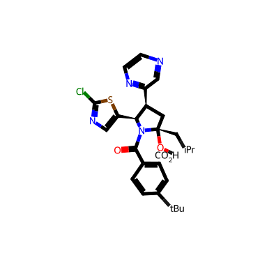 CC(C)C[C@]1(OC(=O)O)C[C@H](c2cnccn2)[C@H](c2cnc(Cl)s2)N1C(=O)c1ccc(C(C)(C)C)cc1